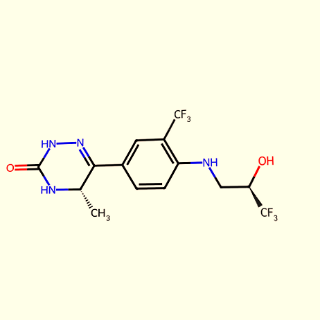 C[C@@H]1NC(=O)NN=C1c1ccc(NC[C@@H](O)C(F)(F)F)c(C(F)(F)F)c1